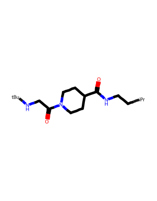 CC(C)CCNC(=O)C1CCN(C(=O)CNC(C)(C)C)CC1